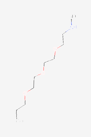 CC(C)NCCOCCOCCOCCC(C)(C)C